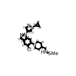 CSNCC1CCN(c2cc3c(cnn3-c3cnn(C4CC4)c3)cc2Cl)CC1